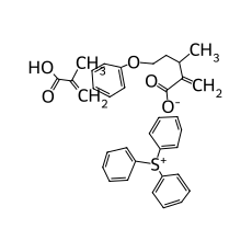 C=C(C(=O)[O-])C(C)CCOc1ccccc1.C=C(C)C(=O)O.c1ccc([S+](c2ccccc2)c2ccccc2)cc1